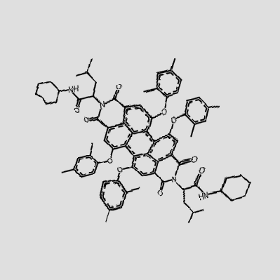 Cc1ccc(Oc2cc3c4c(cc(Oc5ccc(C)cc5C)c5c6c(Oc7ccc(C)cc7C)cc7c8c(cc(Oc9ccc(C)cc9C)c(c2c45)c86)C(=O)N(C(CC(C)C)C(=O)NC2CCCCC2)C7=O)C(=O)N(C(CC(C)C)C(=O)NC2CCCCC2)C3=O)c(C)c1